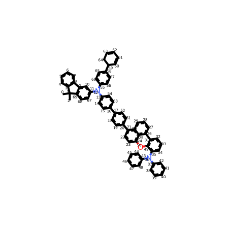 CC1(C)c2ccccc2-c2cc(N(c3ccc(-c4ccc(-c5ccc6c7c(cccc57)-c5cccc(N(c7ccccc7)c7ccccc7)c5O6)cc4)cc3)c3ccc(C4C=CC=CC4)cc3)ccc21